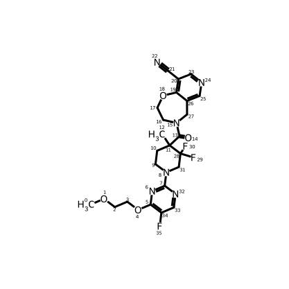 COCCOc1nc(N2CCC(C)(C(=O)N3CCOc4c(C#N)cncc4C3)C(F)(F)C2)ncc1F